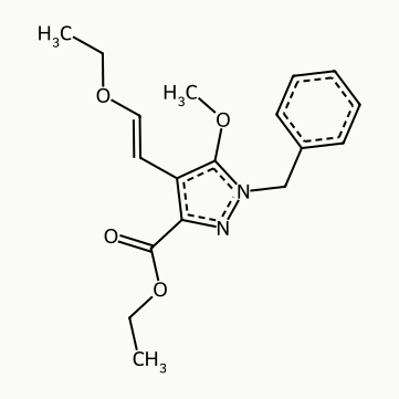 CCOC=Cc1c(C(=O)OCC)nn(Cc2ccccc2)c1OC